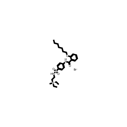 CCCCCCCOc1ccccc1C(=O)Nc1ccc(S(=O)(=O)NCC[N+](C)(CC)CC)cc1.[Br-]